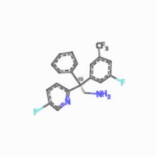 NC[C@](c1ccccc1)(c1cc(F)cc(C(F)(F)F)c1)c1ccc(F)cn1